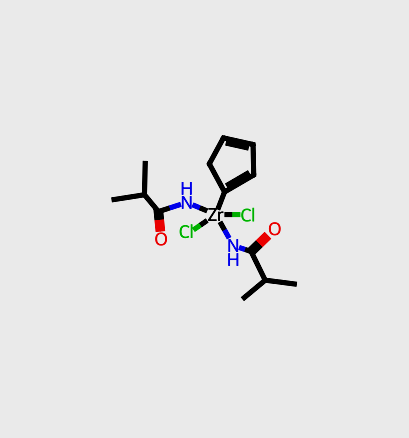 CC(C)C(=O)[NH][Zr]([Cl])([Cl])([NH]C(=O)C(C)C)[C]1=CC=CC1